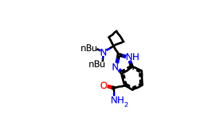 CCCCN(CCCC)C1(c2nc3c(C(N)=O)cccc3[nH]2)CCC1